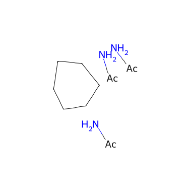 C1CCCCC1.CC(N)=O.CC(N)=O.CC(N)=O